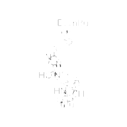 CCCCC(CC)COC(=O)CCSc1cnc(C(O)N2CCC3(CC2)CO[C@@H](C)[C@H]3NC(=O)OC(C)(C)C)cn1